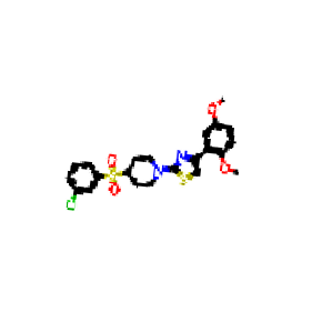 COc1ccc(OC)c(-c2csc(N3CCC(S(=O)(=O)c4cccc(Cl)c4)CC3)n2)c1